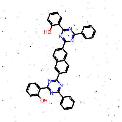 Oc1ccccc1-c1nc(-c2ccccc2)nc(-c2ccc3cc(-c4nc(-c5ccccc5)nc(-c5ccccc5O)n4)ccc3c2)n1